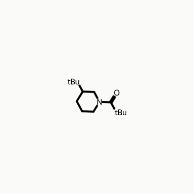 CC(C)(C)C(=O)N1CCCC(C(C)(C)C)C1